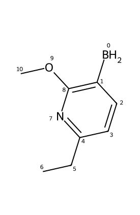 Bc1ccc(CC)nc1OC